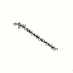 CC(C)(C)OC(=O)NCCOCCOCCOCCOCCOCCOCCOCCOCCO